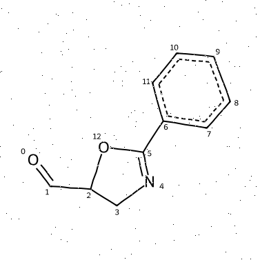 O=CC1CN=C(c2ccccc2)O1